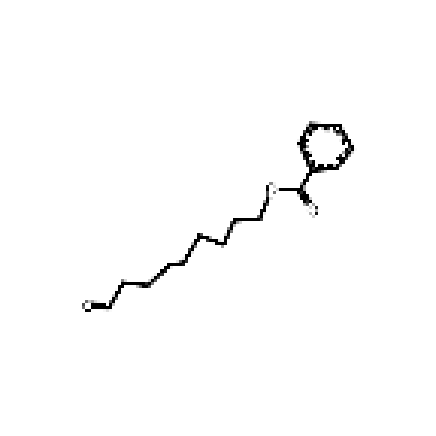 O=CCCCCCCCCOC(=O)c1ccccc1